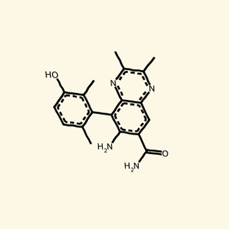 Cc1ccc(O)c(C)c1-c1c(N)c(C(N)=O)cc2nc(C)c(C)nc12